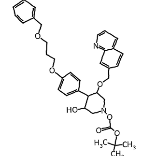 CC(C)(C)OC(=O)ON1CC(O)C(c2ccc(OCCCOCc3ccccc3)cc2)C(OCc2ccc3cccnc3c2)C1